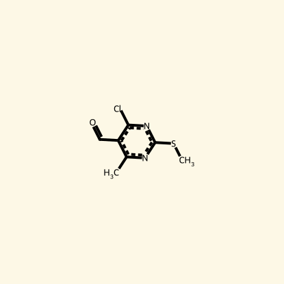 CSc1nc(C)c(C=O)c(Cl)n1